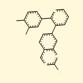 Nc1ncc2ccc(-c3cccnc3-c3ccc(F)c(Cl)c3)cc2n1